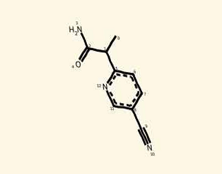 CC(C(N)=O)c1ccc(C#N)cn1